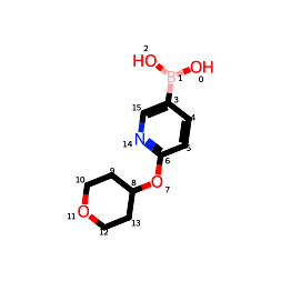 OB(O)c1ccc(OC2CCOCC2)nc1